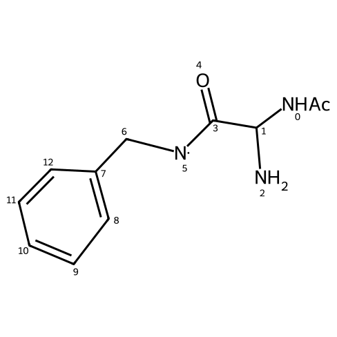 CC(=O)NC(N)C(=O)[N]Cc1ccccc1